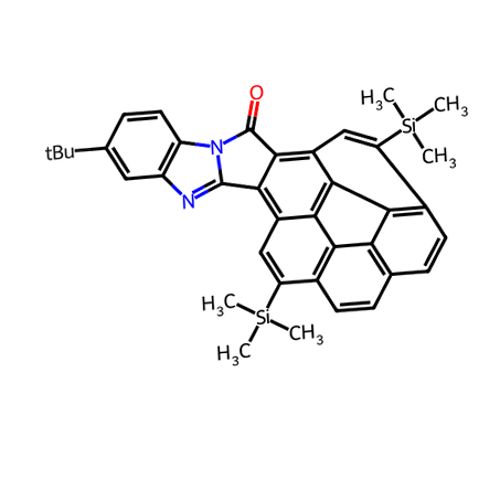 CC(C)(C)c1ccc2c(c1)nc1c3c4cc([Si](C)(C)C)c5ccc6ccc7c([Si](C)(C)C)cc(c3c(=O)n21)c1c7c6c5c41